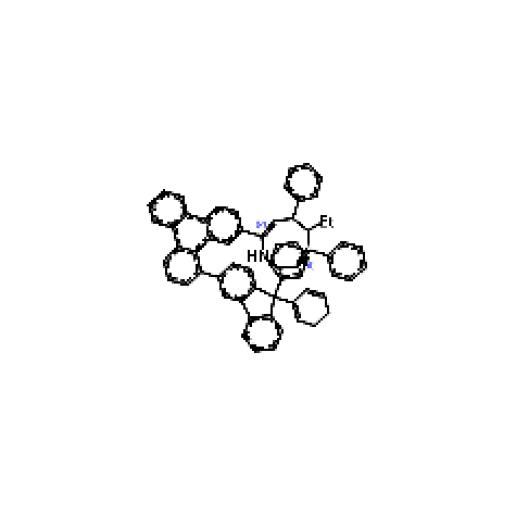 CCC1/C(c2ccccc2)=C\CN/C(c2ccc3c4ccccc4c4cccc(-c5ccc6c(c5)-c5ccccc5C6(C5=CCCC=C5)c5ccccc5)c4c3c2)=C\C1c1ccccc1